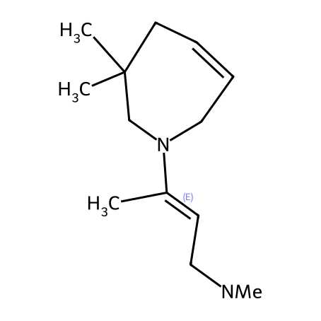 CNC/C=C(\C)N1CC=CCC(C)(C)C1